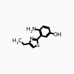 CCc1csc(-c2cc(O)ccc2N)n1